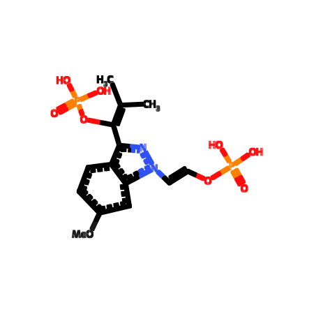 COc1ccc2c(C(OP(=O)(O)O)=C(C)C)nn(C=COP(=O)(O)O)c2c1